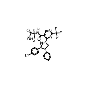 CC(C)(NC(=O)c1cnc(C(F)(F)F)nc1N1C[C@H](c2ccccc2)C(c2ccc(Cl)cc2)=N1)C(N)=O